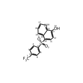 O=S(=O)(c1ccc(C(F)(F)F)cc1)c1ccc(O)c2ncccc12